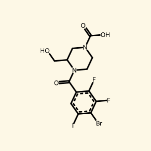 O=C(O)N1CCN(C(=O)c2cc(I)c(Br)c(F)c2F)C(CO)C1